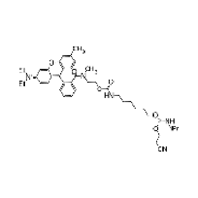 CC[N+](CC)=c1ccc2c(-c3ccccc3C(=O)N(C)CCOC(=O)NCCCCCCOP(NC(C)C)OCCC#N)c3ccc(C)cc3oc-2c1